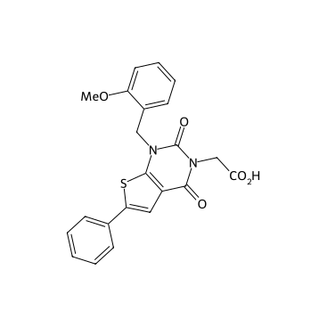 COc1ccccc1Cn1c(=O)n(CC(=O)O)c(=O)c2cc(-c3ccccc3)sc21